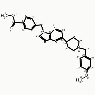 COC(=O)c1ccc(Cn2ccc3cc(C4CCN(Cc5ccc(OC)cc5)CC4)cnc32)cc1